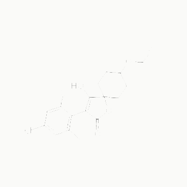 Cc1cc(Cl)cc(Cl)c1C1=C(O)C2(CCC(OCC(F)(F)F)CC2)OC1=O